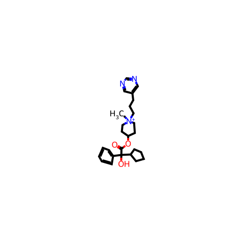 C[N+]1(CCCc2cncnc2)CCC(OC(=O)C(O)(c2ccccc2)C2CCCC2)CC1